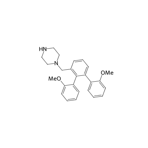 COc1ccccc1-c1cccc(CN2CCNCC2)c1-c1ccccc1OC